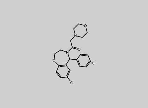 Cl.O=C(CN1CCOCC1)N1CCOc2ccc(Cl)cc2C1c1ccccc1